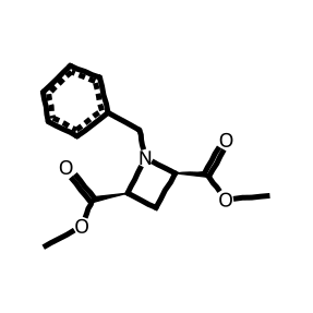 COC(=O)[C@H]1C[C@@H](C(=O)OC)N1Cc1ccccc1